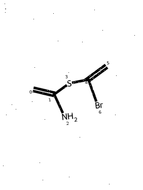 C=C(N)SC(=C)Br